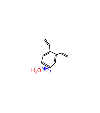 C=Cc1ccccc1C=C.N.O